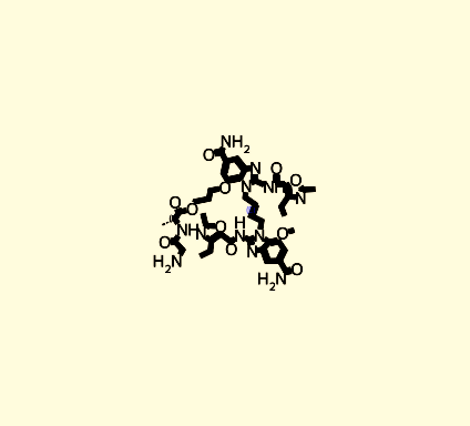 CCc1nc(C)oc1C(=O)Nc1nc2cc(C(N)=O)cc(OC)c2n1C/C=C/Cn1c(NC(=O)c2oc(C)nc2CC)nc2cc(C(N)=O)cc(OCCCOC(=O)[C@@H](C)NC(=O)CN)c21